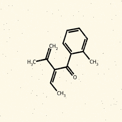 C=C(C)/C(=C/C)C(=O)c1ccccc1C